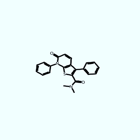 CN(C)C(=O)c1sc2c(ccc(=O)n2-c2ccccc2)c1-c1ccccc1